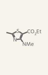 CCOC(=O)c1sc(C)nc1NC